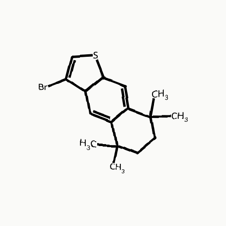 CC1(C)CCC(C)(C)C2=CC3C(Br)=CSC3C=C21